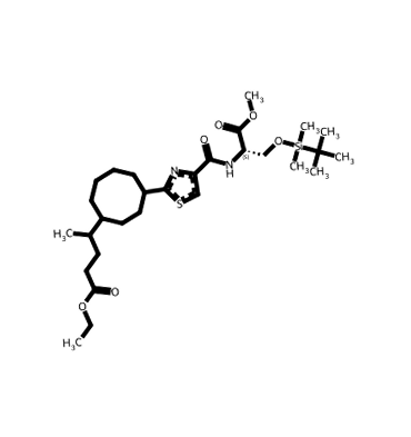 CCOC(=O)CCC(C)C1CCCCC(c2nc(C(=O)N[C@@H](CO[Si](C)(C)C(C)(C)C)C(=O)OC)cs2)CC1